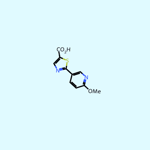 COc1ccc(-c2ncc(C(=O)O)s2)cn1